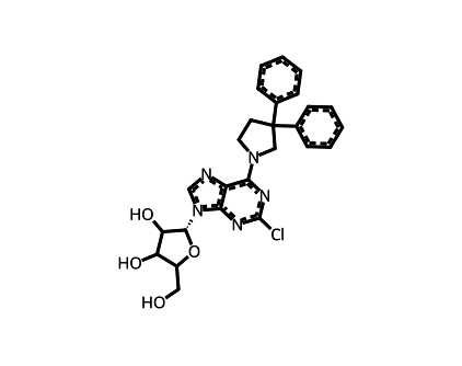 OCC1O[C@@H](n2cnc3c(N4CCC(c5ccccc5)(c5ccccc5)C4)nc(Cl)nc32)C(O)C1O